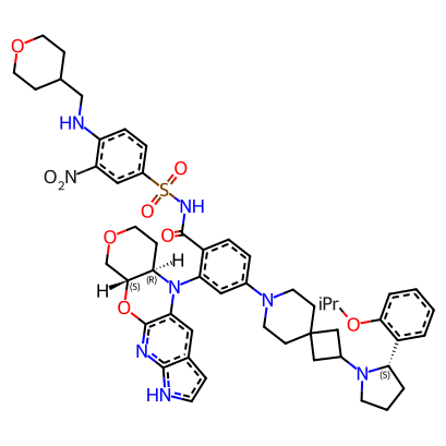 CC(C)Oc1ccccc1[C@@H]1CCCN1C1CC2(CCN(c3ccc(C(=O)NS(=O)(=O)c4ccc(NCC5CCOCC5)c([N+](=O)[O-])c4)c(N4c5cc6cc[nH]c6nc5O[C@@H]5COCC[C@H]54)c3)CC2)C1